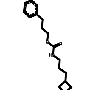 O=C(NCCCC1CCC1)OCCCc1ccccc1